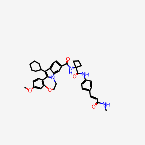 CNC(=O)/C=C/c1ccc(NC(=O)C2(NC(=O)c3ccc4c(C5CCCCC5)c5n(c4c3)CCOc3cc(OC)ccc3-5)CCC2)cc1